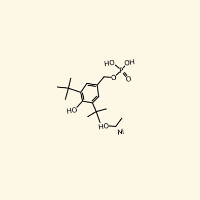 CC(C)(C)c1cc(COP(=O)(O)O)cc(C(C)(C)C)c1O.CCO.[Ni]